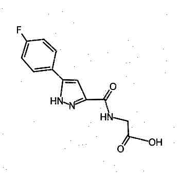 O=C(O)CNC(=O)c1cc(-c2ccc(F)cc2)[nH]n1